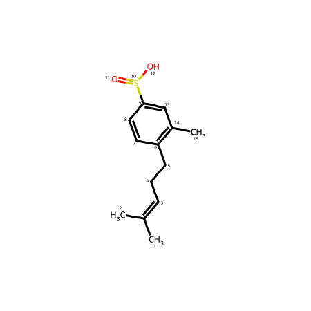 CC(C)=CCCc1ccc(S(=O)O)cc1C